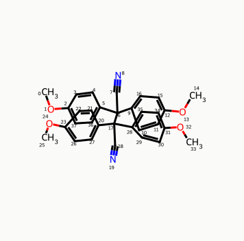 COc1ccc(C(C#N)(c2ccc(OC)cc2)C(C#N)(c2ccc(OC)cc2)c2ccc(OC)cc2)cc1